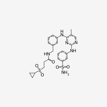 Cc1cnc(Nc2cccc(S(N)(=O)=O)c2)nc1Nc1cccc(CNC(=O)CCS(=O)(=O)C2CC2)c1